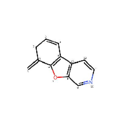 C=C1CC=Cc2c1oc1cnccc21